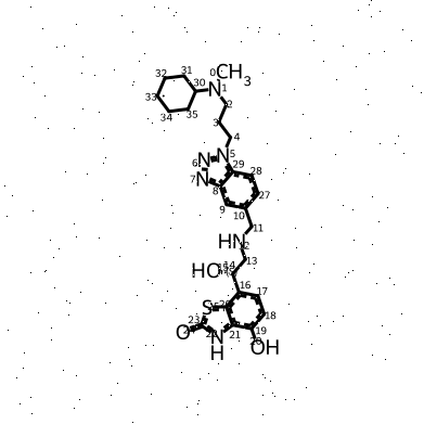 CN(CCCn1nnc2cc(CNC[C@@H](O)c3ccc(O)c4[nH]c(=O)sc34)ccc21)C1CC[CH]CC1